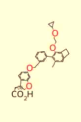 Cc1cc2c(c(OCCOC3CC3)c1-c1cccc(COc3ccc4c(c3)OC[C@H]4CC(=O)O)c1)CC2